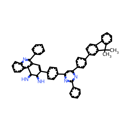 CC1(C)c2ccccc2-c2ccc(-c3ccc(-c4cc(-c5ccc(C6=Cc7c(-c8ccccc8)nc8ccccc8c7C(=N)C6=N)cc5)nc(-c5ccccc5)n4)cc3)cc21